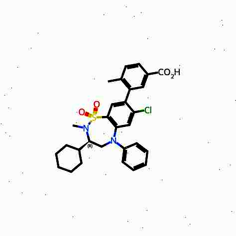 Cc1ccc(C(=O)O)cc1-c1cc2c(cc1Cl)N(c1ccccc1)C[C@@H](C1CCCCC1)N(C)S2(=O)=O